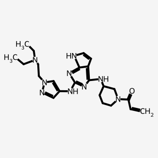 C=CC(=O)N1CCCC(Nc2nc(Nc3cnn(CCN(CC)CC)c3)nc3[nH]ccc23)C1